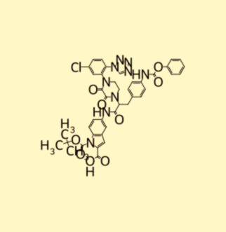 CC(C)(C)OC(=O)n1c(C(=O)O)cc2cc(NC(=O)C(Cc3ccc(NC(=O)Oc4ccccc4)cc3)N3CCN(c4cc(Cl)ccc4-n4cnnn4)C(=O)C3=O)ccc21